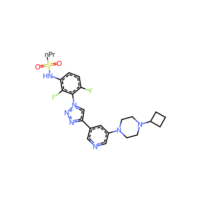 CCCS(=O)(=O)Nc1ccc(F)c(-n2cc(-c3cncc(N4CCN(C5CCC5)CC4)c3)nn2)c1F